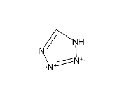 C1=N[N+]=[N+]N1